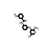 COc1cccc(C(=O)Nc2cccc(Oc3cc(Cl)cnc3N)c2)c1